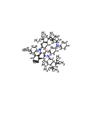 Cc1cc2c(cc1N1c3ccc(N(c4ccccc4)c4ccccc4)cc3B3c4cc5c(cc4N(c4ccc(C(C)(C)C)cc4-c4ccccc4)c4cc(C(C)(C)C)cc1c43)C(C)(C)CC5(C)C)C(C)(C)CC2(C)C